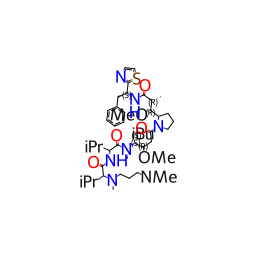 CC[C@H](C)[C@@H]([C@@H](CC(=O)N1CCCC1[C@H](OC)[C@@H](C)C(=O)N[C@@H](Cc1ccccc1)c1nccs1)OC)N(C)C(=O)C(NC(=O)C(C(C)C)N(C)CCCNC)C(C)C